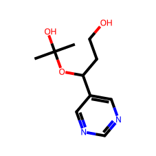 CC(C)(O)OC(CCO)c1cncnc1